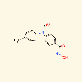 Cc1ccc(N(C=O)c2ccc(C(=O)NO)cc2)cc1